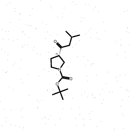 CC(C)CC(=O)[C@H]1CCN(C(=O)OC(C)(C)C)C1